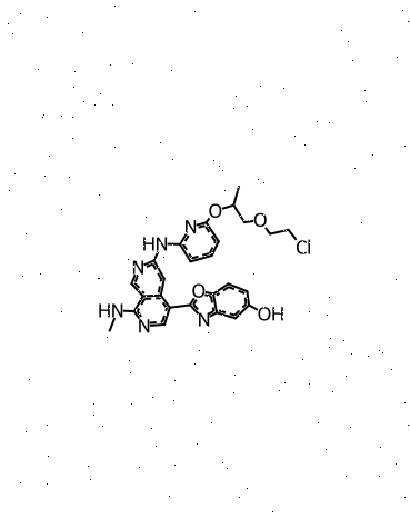 CNc1ncc(-c2nc3cc(O)ccc3o2)c2cc(Nc3cccc(OC(C)COCCCl)n3)ncc12